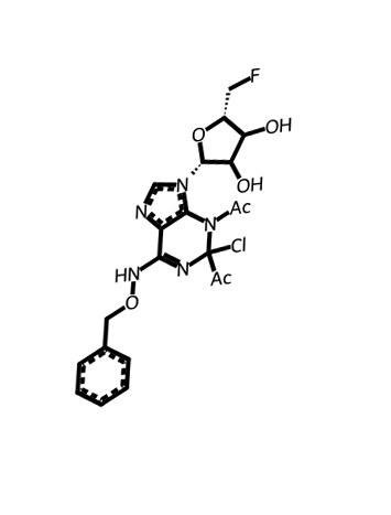 CC(=O)N1c2c(ncn2[C@@H]2O[C@H](CF)C(O)C2O)C(NOCc2ccccc2)=NC1(Cl)C(C)=O